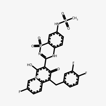 CS(=O)(=O)Nc1ccc2c(c1)S(=O)(=O)N=C(c1c(O)n3cc(F)ccc3c(Cc3ccc(F)c(F)c3)c1=O)N2